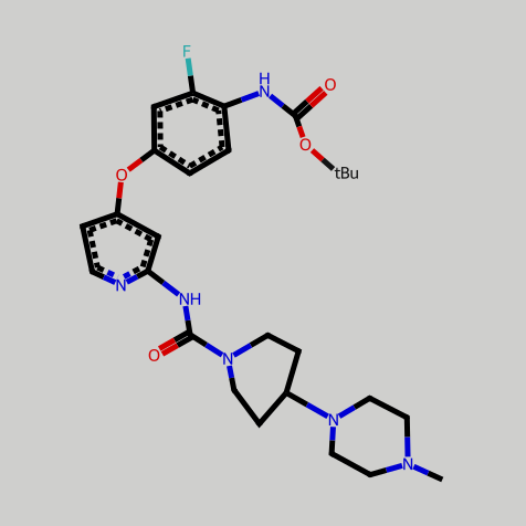 CN1CCN(C2CCN(C(=O)Nc3cc(Oc4ccc(NC(=O)OC(C)(C)C)c(F)c4)ccn3)CC2)CC1